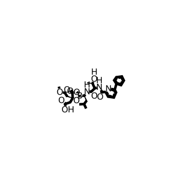 COC(=O)C[C@]1(CC(=O)O)OB([C@H](CC(C)C)NC(=O)C(NC(=O)c2cccc(-c3ccccc3)n2)[C@@H](C)O)OC1=O